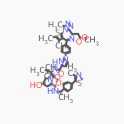 COC(=O)CC1N=C(c2ccc(-n3ccc(C(=O)NC(C(=O)N4C[C@H](O)C[C@H]4C(=O)N[C@@H](C)c4ccc(-c5scnc5C)cc4)C(C)(C)C)n3)cc2)c2c(sc(C)c2C)-n2c(C)nnc21